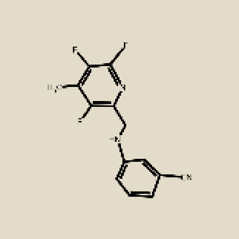 Cc1c(F)c(F)nc(CNc2cccc(C#N)c2)c1F